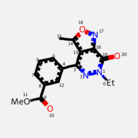 CCn1nc(-c2cccc(C(=O)OC)c2)c2c(C)onc2c1=O